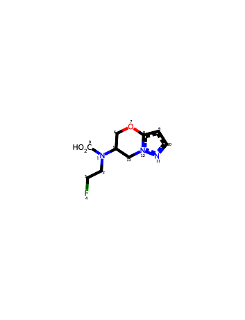 O=C(O)N(CCF)C1COc2ccnn2C1